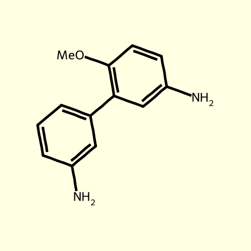 COc1ccc(N)cc1-c1cccc(N)c1